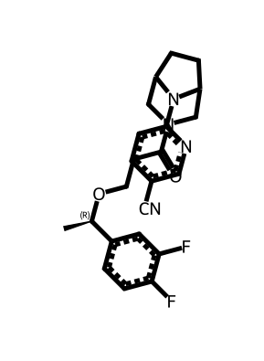 C[C@@H](OCCC(=O)N1CC2CCC(C1)N2c1ccc(C#N)cn1)c1ccc(F)c(F)c1